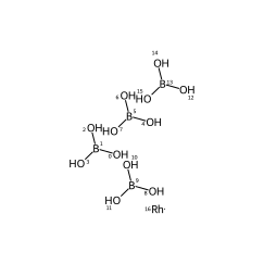 OB(O)O.OB(O)O.OB(O)O.OB(O)O.[Rh]